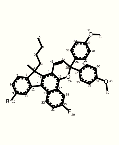 CCCCC1(C)c2ccc(Br)cc2-c2c1c1c(c3cc(F)ccc23)OC(c2ccc(OC)cc2)(c2ccc(OC)cc2)C=C1